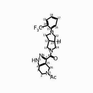 CC(=O)N1CCc2[nH]nc(C(=O)N3CC4CN(c5ccccc5C(F)(F)F)C[C@H]4C3)c2C1